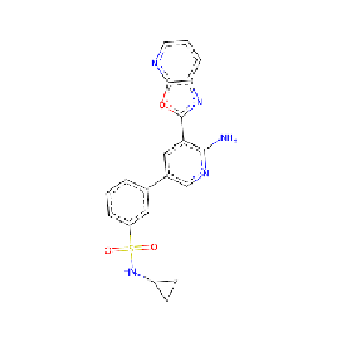 Nc1ncc(-c2cccc(S(=O)(=O)NC3CC3)c2)cc1-c1nc2cccnc2o1